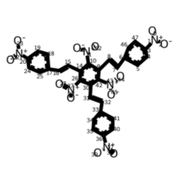 O=[N+]([O-])c1ccc(C=Cc2c([N+](=O)[O-])c(C=Cc3ccc([N+](=O)[O-])cc3)c([N+](=O)[O-])c(C=Cc3ccc([N+](=O)[O-])cc3)c2[N+](=O)[O-])cc1